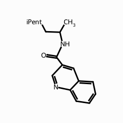 CCCC(C)CC(C)NC(=O)c1cnc2ccccc2c1